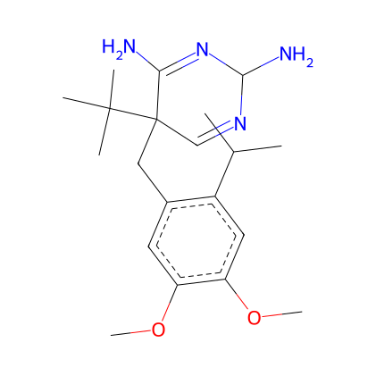 COc1cc(CC2(C(C)(C)C)C=NC(N)N=C2N)c(C(C)C)cc1OC